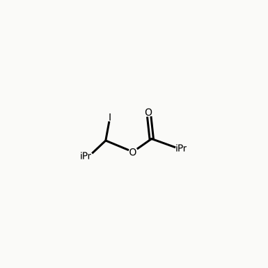 CC(C)C(=O)OC(I)C(C)C